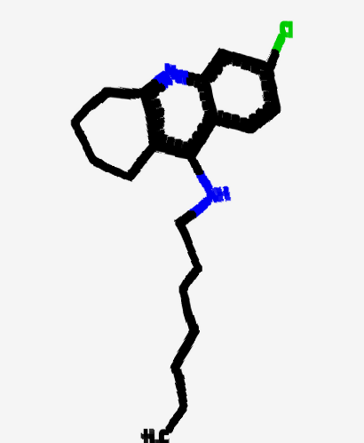 [CH2]CCCCCCNc1c2c(nc3cc(Cl)ccc13)CCCC2